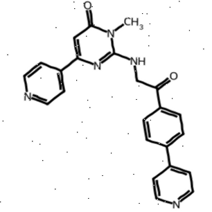 Cn1c(NCC(=O)c2ccc(-c3ccncc3)cc2)nc(-c2ccncc2)cc1=O